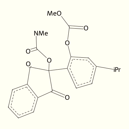 CNC(=O)OC1(c2ccc(C(C)C)cc2OC(=O)OC)C(=O)c2ccccc2C1=O